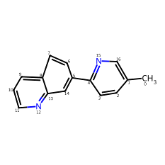 Cc1ccc(-c2ccc3cccnc3c2)nc1